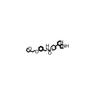 O=C(NCc1cccc(OCCC2CCCO2)c1)N1CC=C(c2ccnc3[nH]ccc23)CC1